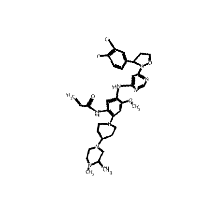 C=CC(=O)Nc1cc(Nc2cc(N3OCCC3c3ccc(F)c(Cl)c3)ncn2)c(OC)cc1N1CCC(N2CCN(C)C(C)C2)CC1